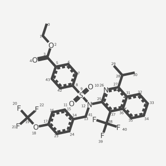 CCOC(=O)c1ccc(S(=O)(=O)N(Cc2ccc(OC(F)(F)F)cc2)c2nc(C(C)C)c3ccccc3c2C(F)(F)F)cc1